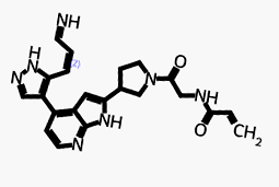 C=CC(=O)NCC(=O)N1CCC(c2cc3c(-c4cn[nH]c4/C=C\C=N)ccnc3[nH]2)C1